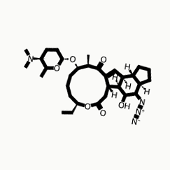 CC[C@H]1CCC[C@H](O[C@H]2CC[C@H](N(C)C)C(C)O2)[C@@H](C)C(=O)C2=C[C@H]3[C@@H]4CCC[C@H]4C(N=[N+]=[N-])C(O)[C@H]3[C@@H]2CC(=O)O1